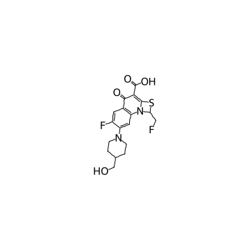 O=C(O)c1c2n(c3cc(N4CCC(CO)CC4)c(F)cc3c1=O)C(CF)S2